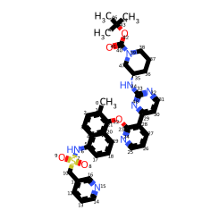 Cc1ccc2c(NS(=O)(=O)Cc3cccnc3)cccc2c1Oc1ncccc1-c1ccnc(N[C@H]2CCCN(C(=O)OC(C)(C)C)C2)n1